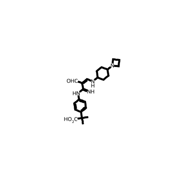 CC(C)(C(=O)O)c1ccc(NC(=N)/C(C=O)=C\NC2CCC(N3CCC3)CC2)cc1